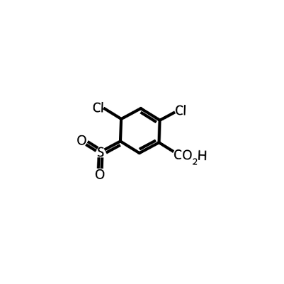 O=C(O)C1=CC(=S(=O)=O)C(Cl)C=C1Cl